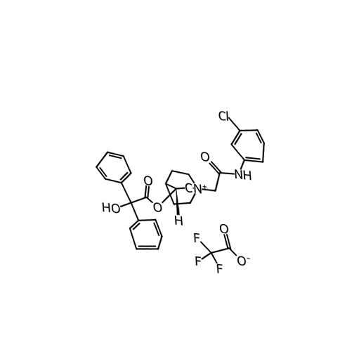 O=C(C[N+]12CCC(CC1)[C@@H](OC(=O)C(O)(c1ccccc1)c1ccccc1)C2)Nc1cccc(Cl)c1.O=C([O-])C(F)(F)F